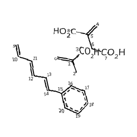 C=C(C)C(=O)O.C=C(CC(=O)O)C(=O)O.C=CC=CC=Cc1ccccc1